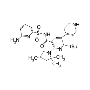 C[C@@H]1CN(c2nc(C(C)(C)C)c(C3=CCNCC3)cc2C(=O)NS(=O)(=O)c2cccc(N)n2)C(C)(C)C1